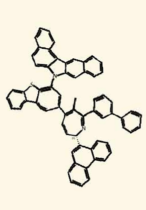 CC1=C(c2cc(-n3c4cc5ccccc5cc4c4c5ccccc5ccc43)c3sc4ccccc4c3c2)C=C[C@@H](c2cc3ccccc3c3ccccc23)N=C1c1cccc(-c2ccccc2)c1